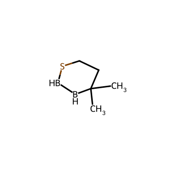 CC1(C)BBSCC1